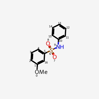 COc1cccc(S(=O)(=O)Nc2ccccc2)c1